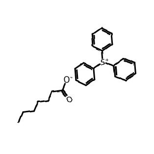 CCCCCCC(=O)[O-].c1ccc([S+](c2ccccc2)c2ccccc2)cc1